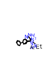 CCN(Cc1nc2c(N)nc3cc(-c4ccccc4)ccc3c2[nH]1)C(C)=O